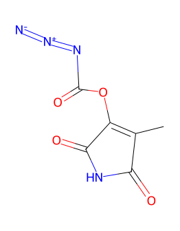 CC1=C(OC(=O)N=[N+]=[N-])C(=O)NC1=O